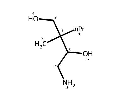 CCCC(C)(CO)C(O)CN